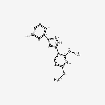 COc1ncc(-c2cc(-c3cccc(F)c3)n[nH]2)c(OC)n1